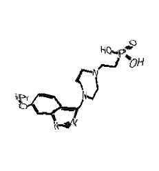 CC(C)Oc1ccc2c(N3CCN(CCP(=O)(O)O)CC3)ncnc2c1